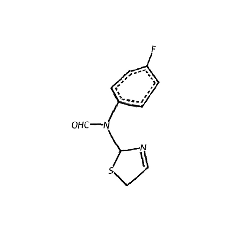 O=CN(c1ccc(F)cc1)C1N=CCS1